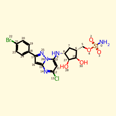 NS(=O)(=O)OC[C@H]1C[C@@H](Nc2cc(Cl)nc3cc(-c4ccc(Br)cc4)nn23)[C@H](O)[C@@H]1O